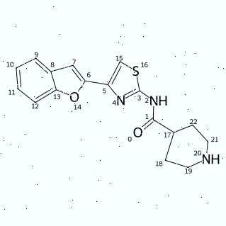 O=C(Nc1nc(-c2cc3ccccc3o2)cs1)C1CCNCC1